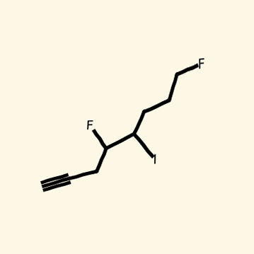 C#CCC(F)C(I)CCCF